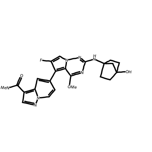 CNC(=O)c1cnn2ccc(-c3c(F)cn4nc(NC56CCC(O)(CC5)C6)nc(OC)c34)cc12